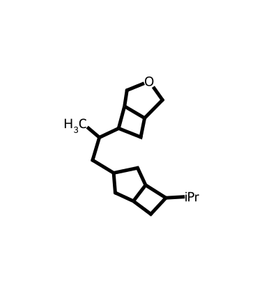 CC(C)C1CC2CC(CC(C)C3CC4COCC43)CC21